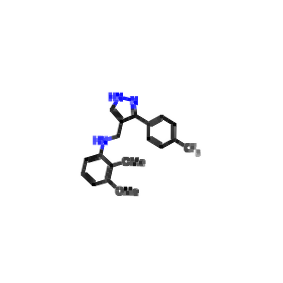 COc1cccc(NCc2c[nH]nc2-c2ccc(C(F)(F)F)cc2)c1OC